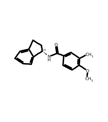 COc1ccc(C(=O)N[C@H]2CCc3ccccc32)cc1C